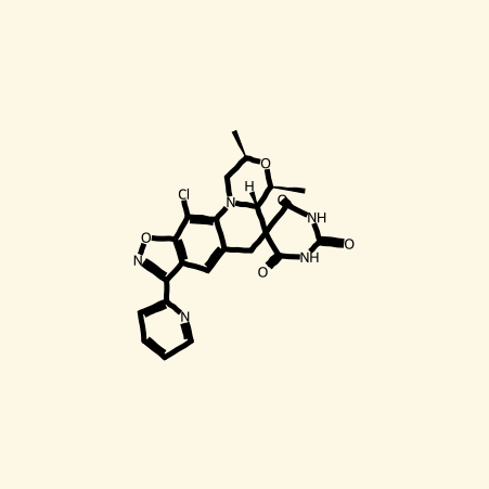 C[C@@H]1CN2c3c(cc4c(-c5ccccn5)noc4c3Cl)CC3(C(=O)NC(=O)NC3=O)[C@H]2[C@H](C)O1